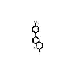 FC(F)(F)c1ccc(-c2ccc3c(c2)CCC(=S)N3)cc1